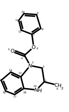 CC1CN(C(=O)Oc2ccccc2)c2ccccc2N1